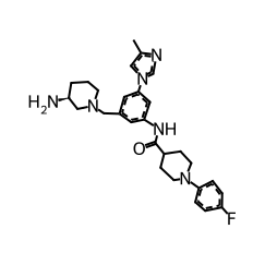 Cc1cn(-c2cc(CN3CCC[C@H](N)C3)cc(NC(=O)C3CCN(c4ccc(F)cc4)CC3)c2)cn1